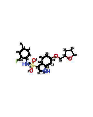 Cc1ccc(NS(=O)(=O)c2c[nH]c3cc(OCC4CCCO4)ccc23)c(F)c1